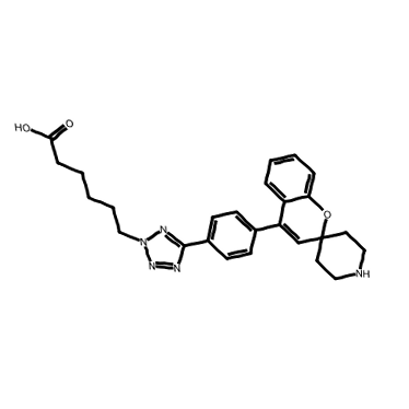 O=C(O)CCCCCn1nnc(-c2ccc(C3=CC4(CCNCC4)Oc4ccccc43)cc2)n1